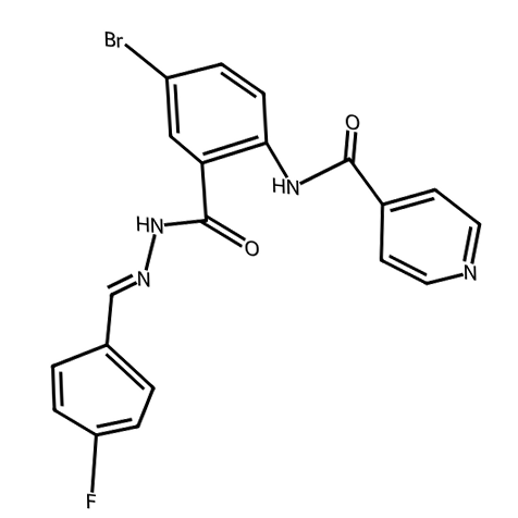 O=C(Nc1ccc(Br)cc1C(=O)N/N=C/c1ccc(F)cc1)c1ccncc1